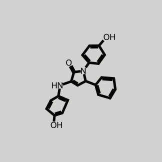 O=C1C(Nc2ccc(O)cc2)=CC(c2ccccc2)N1c1ccc(O)cc1